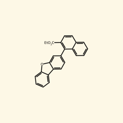 CCOC(=O)c1ccc2ccccc2c1-c1ccc2c(c1)oc1ccccc12